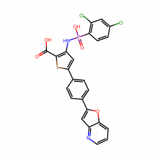 O=C(O)c1sc(-c2ccc(-c3cc4ncccc4o3)cc2)cc1NP(=O)(O)c1ccc(Cl)cc1Cl